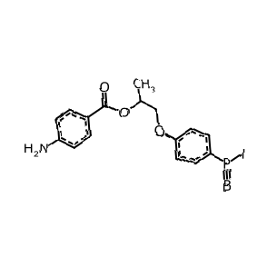 B#P(I)c1ccc(OCC(C)OC(=O)c2ccc(N)cc2)cc1